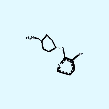 N[C@H]1CC[C@H](Oc2ncccc2Br)CC1